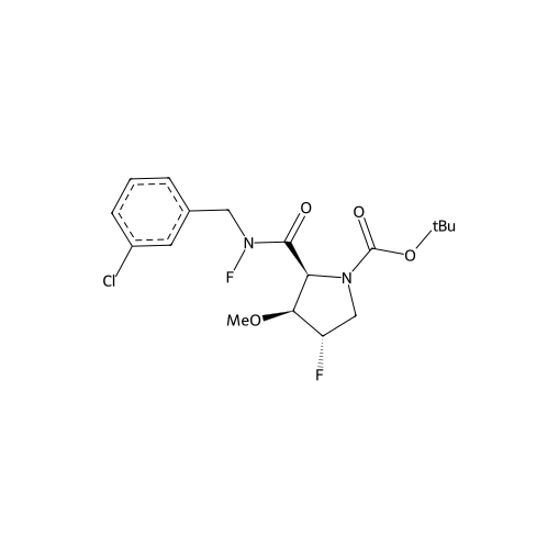 CO[C@H]1[C@@H](C(=O)N(F)Cc2cccc(Cl)c2)N(C(=O)OC(C)(C)C)C[C@@H]1F